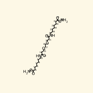 NOC(=O)CCCCCCCNC(=O)CCOCCOCCC(=O)NCCCCCCCC(=O)ON